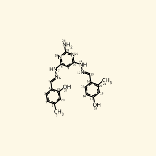 Cc1ccc(/C=N/Nc2cc(N/N=C/c3ccc(O)cc3C)nc(N)n2)c(O)c1